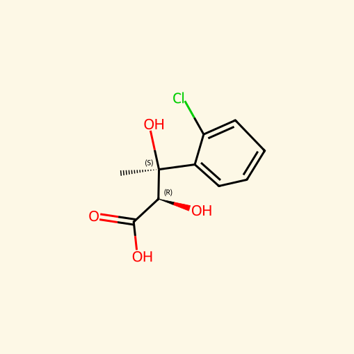 C[C@](O)(c1ccccc1Cl)[C@@H](O)C(=O)O